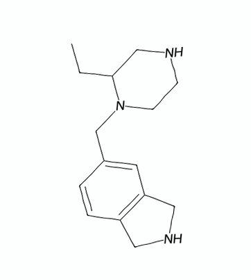 CCC1CNCCN1Cc1ccc2c(c1)CNC2